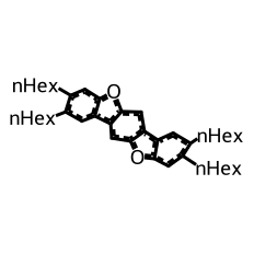 CCCCCCc1cc2oc3cc4c(cc3c2cc1CCCCCC)oc1cc(CCCCCC)c(CCCCCC)cc14